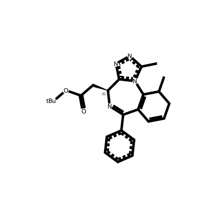 Cc1nnc2n1C1=C(C=CCC1C)C(c1ccccc1)=N[C@H]2CC(=O)OC(C)(C)C